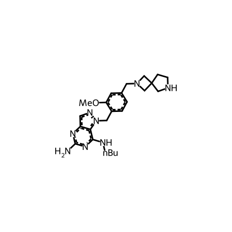 CCCCNc1nc(N)nc2cnn(Cc3ccc(CN4CC5(CCNC5)C4)cc3OC)c12